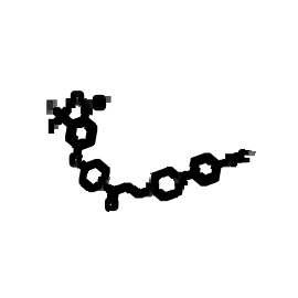 [C-]#[N+]c1ccc(N2CCN(CCC(=O)N3CCC(Oc4ccc([N+](=O)[O-])c(C(F)(F)F)c4)CC3)CC2)cc1